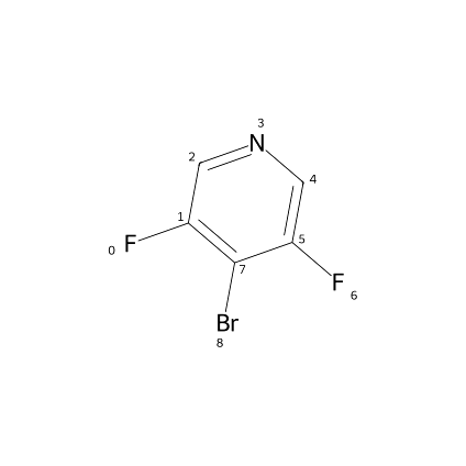 Fc1cncc(F)c1Br